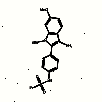 CCCCn1c(-c2ccc(NS(=O)(=O)C(C)C)cc2)c(N)c2ccc(OC)cc21